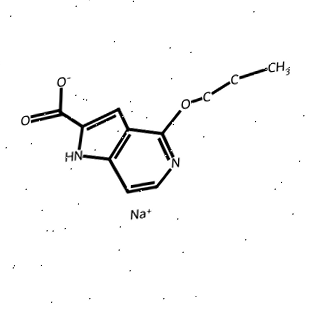 CCCOc1nccc2[nH]c(C(=O)[O-])cc12.[Na+]